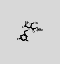 CC(C)(C)CC(C(=O)NC(C)(C)C)[C@H](CCc1cc(F)cc(F)c1)C(N)=O